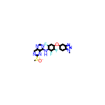 Cn1nnc2cc(Oc3cc(F)c(Nc4ncnc5cnc([S+](C)[O-])nc45)c(F)c3F)ccc21